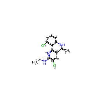 C=C(Nc1cccc(Cl)c1)c1cnc(NCC)c(Cl)c1